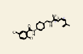 C=C(C)/C=C\C=C(/N)NC[C@H]1CC[C@H](NC(=O)c2cc(Cl)ccc2Cl)CC1